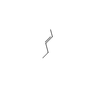 Br.CCC=CCBr